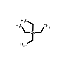 C[CH2][Ge]([CH2]C)([CH2]C)[CH2]C